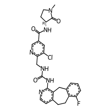 CN1CC[C@@H](NC(=O)c2cnc(CNC(=O)Nc3nccc4c3Cc3cccc(F)c3CC4)c(Cl)c2)C1=O